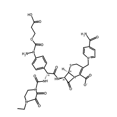 CCN1CCN(C(=O)N[C@@H](C(=O)N[C@@H]2C(=O)N3C(C(=O)[O-])=C(C[n+]4ccc(C(N)=O)cc4)CS[C@H]23)c2ccc(N(N)C(=O)OCCC(=O)O)cc2)C(=O)C1=O